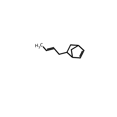 CC=CCC1CC2C=CC1C2